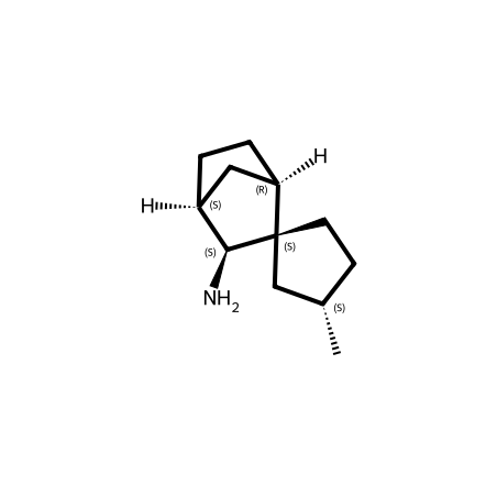 C[C@H]1CC[C@]2(C1)[C@@H]1CC[C@@H](C1)[C@@H]2N